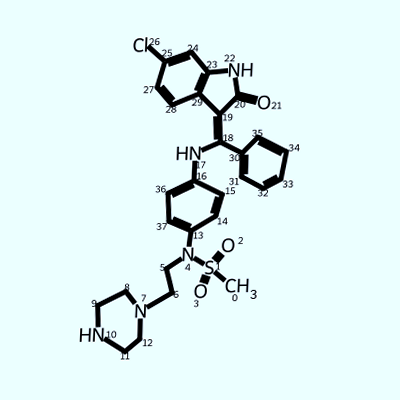 CS(=O)(=O)N(CCN1CCNCC1)c1ccc(NC(=C2C(=O)Nc3cc(Cl)ccc32)c2ccccc2)cc1